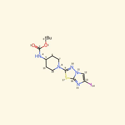 CC(C)(C)OC(=O)NC1CCN(c2nn3cc(I)nc3s2)CC1